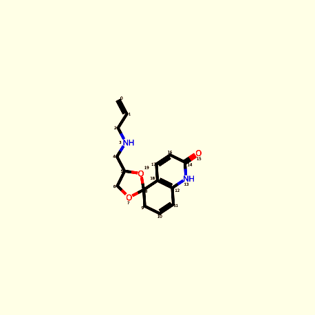 C=CCNCC1COC2(CC=Cc3[nH]c(=O)ccc32)O1